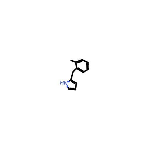 Cc1ccccc1Cc1ccc[nH]1